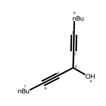 CCCCC#CC(O)C#CCCCC